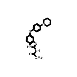 COC(=O)Nc1nc2cc(Sc3ccc(N4CCCCC4)cc3)ccc2[nH]1